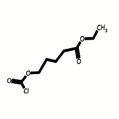 CCOC(=O)CCCCOC(=O)Cl